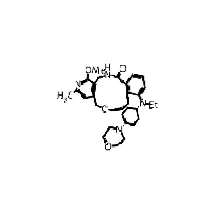 CCN(c1cccc2c1CC=CCCc1cc(C)nc(OC)c1CNC2=O)[C@H]1CC[C@@H](N2CCOCC2)CC1